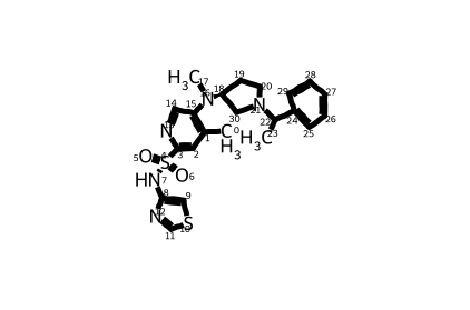 Cc1cc(S(=O)(=O)Nc2cscn2)ncc1N(C)[C@H]1CCN(C(C)c2ccccc2)C1